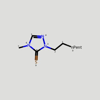 CCCCCCCn1ncn(C)c1=S